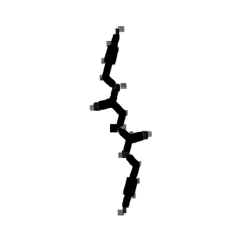 O=C(CNC(=O)OCC#CI)OCC#CI